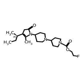 CC[C@@H](C)C1=C(C)N(C2CCN(C3CCN(C(=O)OCCF)CC3)CC2)C(=O)C1